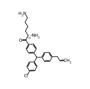 C=CCc1ccc([C](c2ccc(Cl)cc2)c2ccc(C(=O)[C@@H](N)CCCCN)cc2)cc1